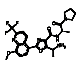 COc1ccc(-c2nc(C(=O)N[C@@H](C)C(=O)N3CCCC3)c([C@H](C)N)o2)c2ccc(C(F)(F)F)nc12